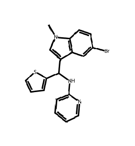 Cn1cc(C(Nc2ccccn2)c2cccs2)c2cc(Br)ccc21